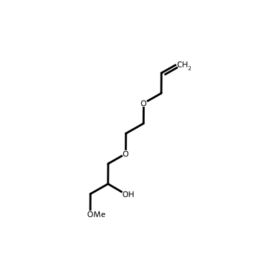 C=CCOCCOCC(O)COC